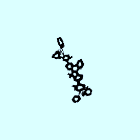 Cc1cc2c(cc1-c1ccc3c(c1)C(C)(C)c1c-3c3ccccc3c3cc(-c4cc5c(cc4C)N(c4ccccc4)C4(C)CCCCC54C)ccc13)C1(C)CCCCC1(C)N2c1ccccc1